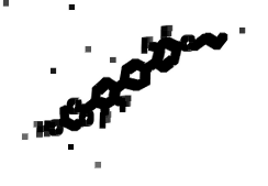 C/C=C/COc1ccc(-c2ccc(-c3ccc(C4OCC(O)CO4)c(F)c3F)cc2)c(F)c1F